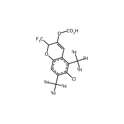 [2H]C([2H])([2H])c1cc2c(c(C([2H])([2H])[2H])c1Cl)C=C(OC(=O)O)C(C(F)(F)F)O2